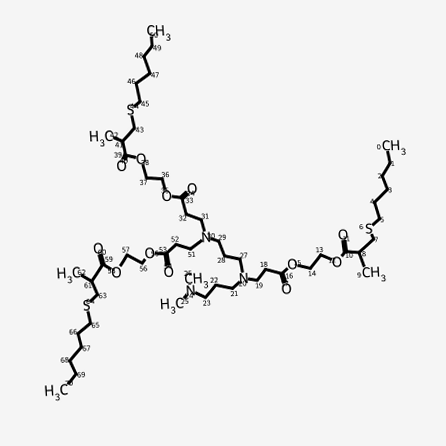 CCCCCCSCC(C)C(=O)OCCOC(=O)CCN(CCCN(C)C)CCCN(CCC(=O)OCCOC(=O)C(C)CSCCCCCC)CCC(=O)OCCOC(=O)C(C)CSCCCCCC